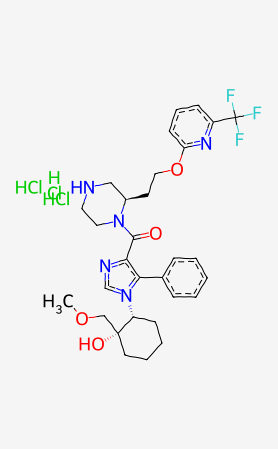 COC[C@]1(O)CCCC[C@H]1n1cnc(C(=O)N2CCNC[C@H]2CCOc2cccc(C(F)(F)F)n2)c1-c1ccccc1.Cl.Cl.Cl